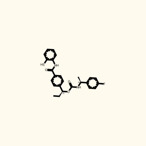 CC[C@H](OC(=O)N[C@@H](C)c1ccc(F)cc1)c1ccc(C(=O)Nc2ccccc2S)cc1